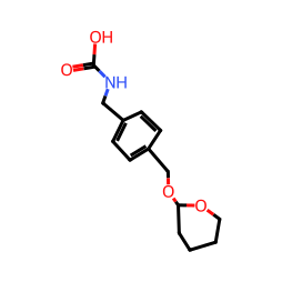 O=C(O)NCc1ccc(COC2CCCCO2)cc1